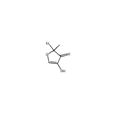 CCC1(C)OC=C(O)C1=O